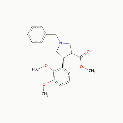 COC(=O)[C@H]1CN(Cc2ccccc2)C[C@@H]1c1cccc(OC)c1OC